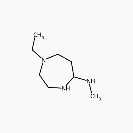 CCN1CCNC(NC)CC1